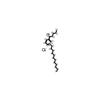 CCCCCCCCCCCC[n+]1cccc(C(=O)CCCC)c1.[Cl-]